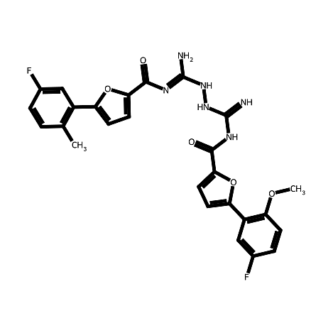 COc1ccc(F)cc1-c1ccc(C(=O)NC(=N)NNC(N)=NC(=O)c2ccc(-c3cc(F)ccc3C)o2)o1